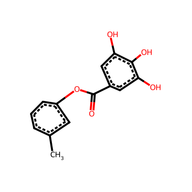 Cc1cccc(OC(=O)c2cc(O)c(O)c(O)c2)c1